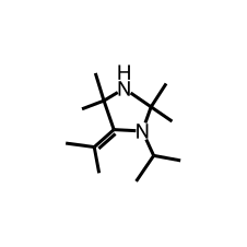 CC(C)=C1N(C(C)C)C(C)(C)NC1(C)C